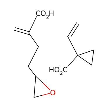 C=C(CCC1CO1)C(=O)O.C=CC1(C(=O)O)CC1